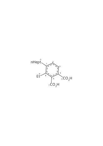 CCCCCCCc1ccc(C(=O)O)c(C(=O)O)c1CC